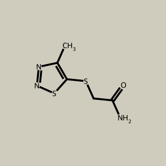 Cc1nnsc1SCC(N)=O